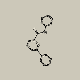 O=C(Nc1ccccc1)c1cncc(-c2cccnc2)n1